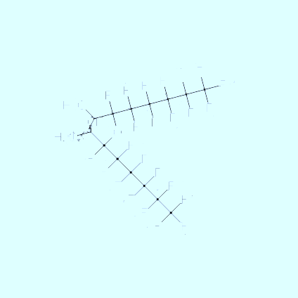 CC(C)C(F)(OC(F)(C(C)C)C(F)(F)C(F)(F)C(F)(F)C(F)(F)C(F)(F)F)C(F)(F)C(F)(F)C(F)(F)C(F)(F)C(F)(F)F